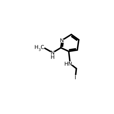 CNc1ncccc1NCI